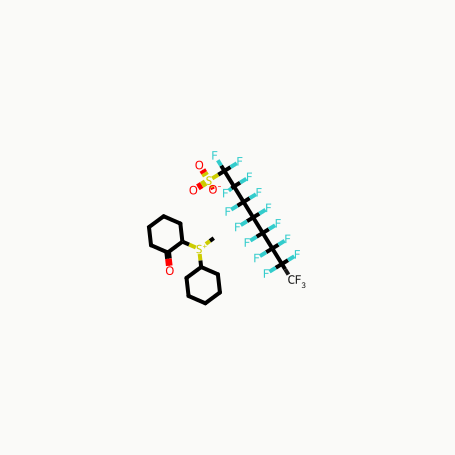 C[S+](C1CCCCC1)C1CCCCC1=O.O=S(=O)([O-])C(F)(F)C(F)(F)C(F)(F)C(F)(F)C(F)(F)C(F)(F)C(F)(F)C(F)(F)F